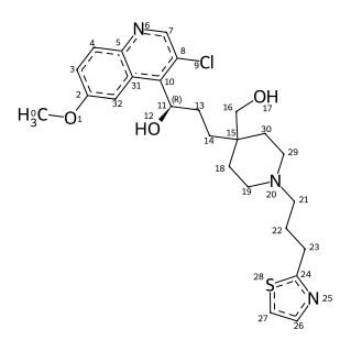 COc1ccc2ncc(Cl)c([C@H](O)CCC3(CO)CCN(CCCc4nccs4)CC3)c2c1